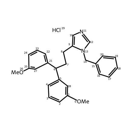 COc1cccc(C(CCc2cncn2Cc2ccccc2)c2cccc(OC)c2)c1.Cl